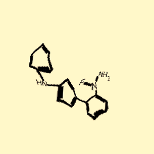 NN(F)c1ccccc1-c1ccc(Nc2ccccc2)cc1